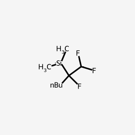 CCCCC(F)([C](F)F)[Si](C)C